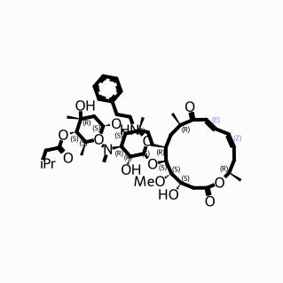 CO[C@@H]1[C@@H](O[C@@H]2O[C@H](C)[C@@H](O[C@H]3C[C@@](C)(O)[C@@H](OC(=O)CC(C)C)[C@H](C)O3)[C@H](N(C)C)[C@H]2O)[C@@H](CCNCCc2ccccc2)C[C@@H](C)C(=O)/C=C/C=C\C[C@@H](C)OC(=O)C[C@@H]1O